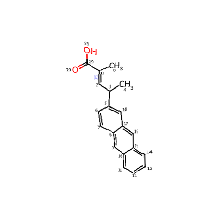 C/C(=C\C(C)c1ccc2cc3ccccc3cc2c1)C(=O)O